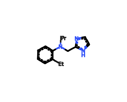 CCc1ccccc1N(Cc1ncc[nH]1)C(C)C